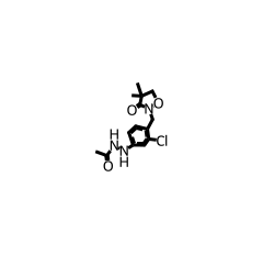 CC(=O)NNc1ccc(CN2OCC(C)(C)C2=O)c(Cl)c1